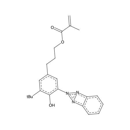 C=C(C)C(=O)OCCCc1cc(-n2n3c4ccccc4n23)c(O)c(C(C)(C)C)c1